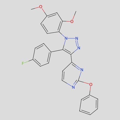 COc1ccc(-n2nnc(-c3ccnc(Oc4ccccc4)n3)c2-c2ccc(F)cc2)c(OC)c1